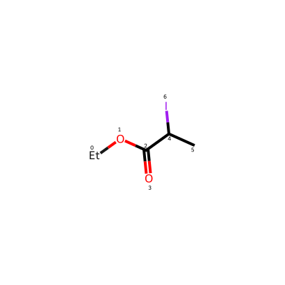 CCOC(=O)C(C)I